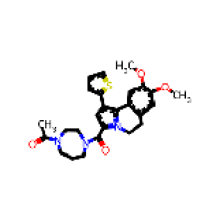 COc1cc2c(cc1OC)-c1c(-c3cccs3)cc(C(=O)N3CCCN(C(C)=O)CC3)n1CC2